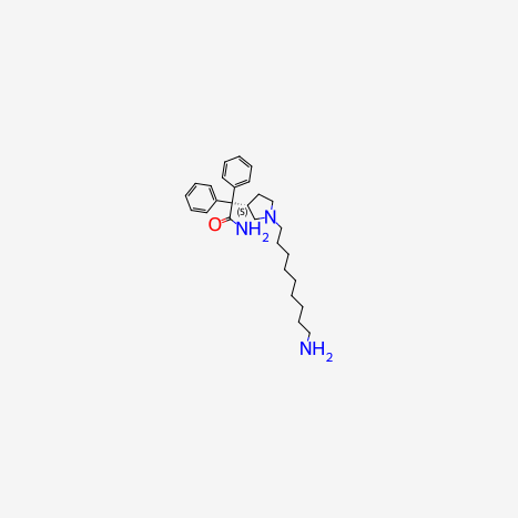 NCCCCCCCCCN1CC[C@@H](C(C(N)=O)(c2ccccc2)c2ccccc2)C1